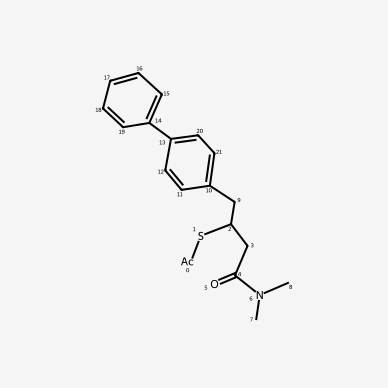 CC(=O)SC(CC(=O)N(C)C)Cc1ccc(-c2ccccc2)cc1